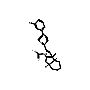 CC1(C=Cc2ccc(-c3cccc(F)c3)cn2)C(NC(=O)O)C[C@H]2CCCC[C@H]21